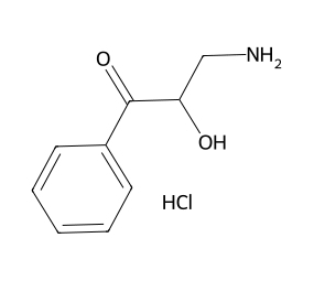 Cl.NCC(O)C(=O)c1ccccc1